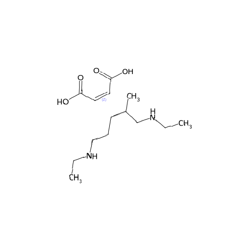 CCNCCCC(C)CNCC.O=C(O)/C=C\C(=O)O